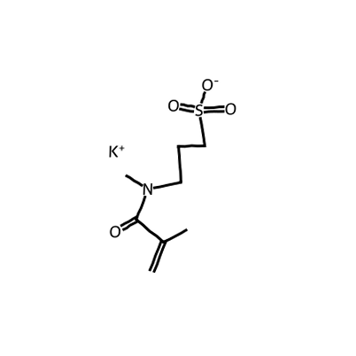 C=C(C)C(=O)N(C)CCCS(=O)(=O)[O-].[K+]